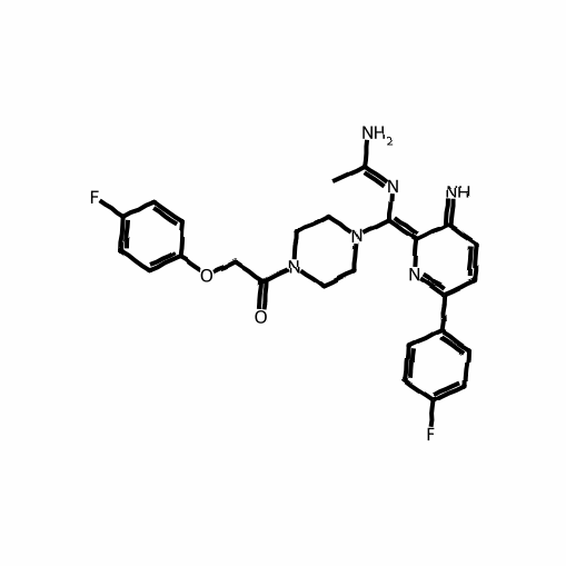 C/C(N)=N\C(=C1\N=C(c2ccc(F)cc2)C=CC1=N)N1CCN(C(=O)COc2ccc(F)cc2)CC1